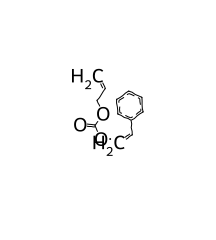 C=CCOC([O])=O.C=Cc1ccccc1